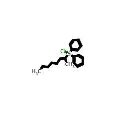 CCCCCCC(C)[Si](Cl)(c1ccccc1)c1ccccc1